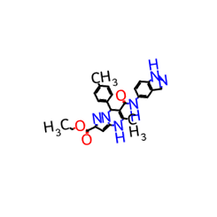 CCOC(=O)c1cc2n(n1)C(c1ccc(C)cc1)C(C(=O)Nc1ccc3[nH]ncc3c1)=C(C)N2